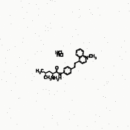 CC(C)C[C@H](N)C(=O)Nc1ccc(C=Cc2cc[n+](C)c3ccccc23)cc1.Cl.Cl